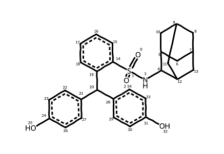 O=S(=O)(NC1C2CC3CC(C2)CC1C3)c1ccccc1C(c1ccc(O)cc1)c1ccc(O)cc1